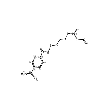 C=CCN(C)CCCCCCOc1ccc(C(N)=O)cc1